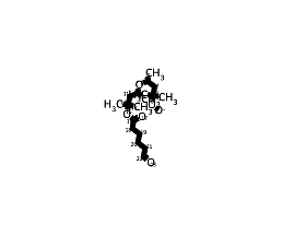 CC(CC(C)(C)O[O])OC(C)CC(C)(C)OC(=O)CCCC[C]=O